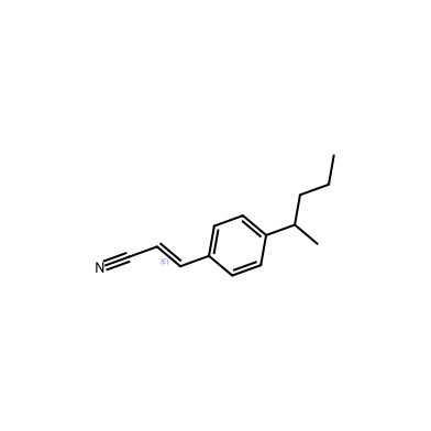 CCCC(C)c1ccc(/C=C/C#N)cc1